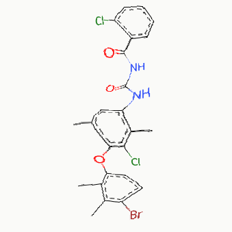 Cc1cc(NC(=O)NC(=O)c2ccccc2Cl)c(C)c(Cl)c1Oc1ccc(Br)c(C)c1C